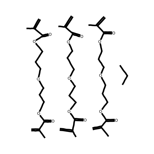 C=C(C)C(=O)OCCCOCCCOC(=O)C(=C)C.C=C(C)C(=O)OCCCOCCCOC(=O)C(=C)C.C=C(C)C(=O)OCCCOCCCOC(=O)C(=C)C.CCC